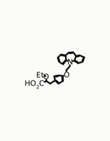 CCOC(Cc1ccc(OCCN2c3ccccc3C=Cc3ccccc32)cc1)C(=O)O